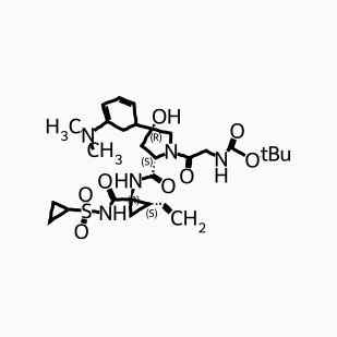 C=C[C@@H]1C[C@]1(NC(=O)[C@@H]1C[C@@](O)(C2C=CC=C(N(C)C)C2)CN1C(=O)CNC(=O)OC(C)(C)C)C(=O)NS(=O)(=O)C1CC1